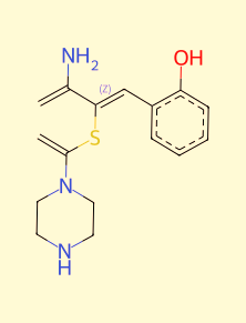 C=C(N)/C(=C/c1ccccc1O)SC(=C)N1CCNCC1